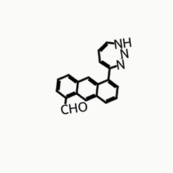 O=Cc1cccc2cc3c(C4=CC=CNN=N4)cccc3cc12